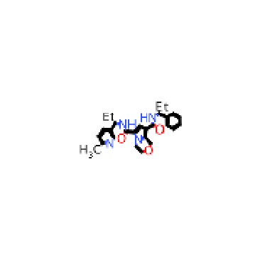 CCC(NC(=O)c1cc(C(=O)N[C@H](CC)c2ccccc2)c2n1CCOC2)c1ccc(C)nc1